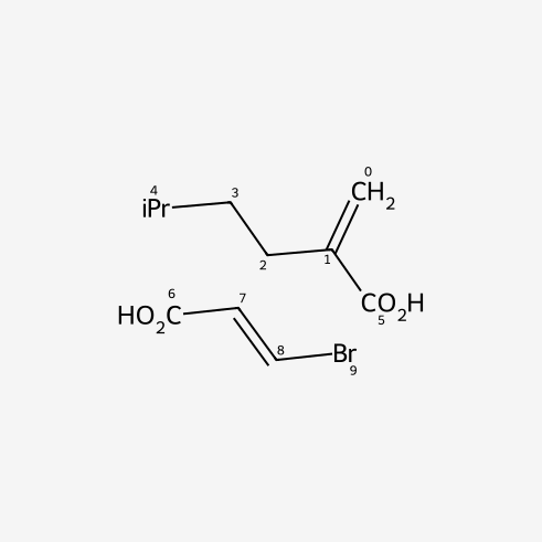 C=C(CCC(C)C)C(=O)O.O=C(O)C=CBr